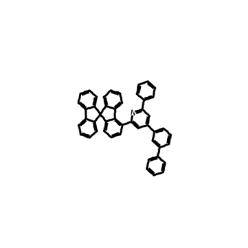 c1ccc(-c2cccc(-c3cc(-c4ccccc4)nc(-c4cccc5c4-c4ccccc4C54c5ccccc5-c5ccccc54)c3)c2)cc1